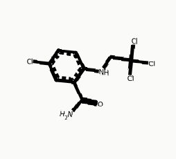 NC(=O)c1cc(Cl)ccc1N[CH]C(Cl)(Cl)Cl